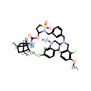 COc1ccc(Cl)c(CN(Cc2cccc(CN3C(OC(=O)N[C@H]4C[C@H]5C[C@@H]([C@@H]4C)C5(C)C)CCS3(=O)=O)c2)[C@@H](Cc2ccc(Cl)cc2)CN(C)C)c1F